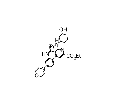 CCOC(=O)c1cc(-c2ccc(N3CCOCC3)cc2)c(C(=N)C(C)C)c(N[C@@H]2CCC[C@@H](O)C2)n1